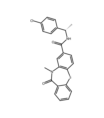 C[C@H](NC(=O)c1ccc2c(c1)N(C)C(=O)c1ccccc1S2)c1ccc(Cl)cc1